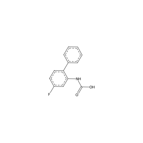 O=C(O)Nc1cc(F)ccc1-c1ccccc1